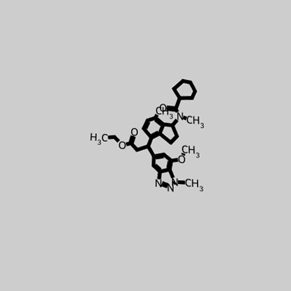 CCOC(=O)CC(c1cc(OC)c2c(c1)nnn2C)c1ccc(C)c2c1CCC2N(C)C(=O)C1CCCCC1